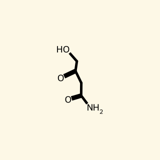 NC(=O)CC(=O)CO